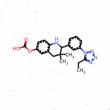 CCc1nnnn1-c1cccc(C2Nc3ccc(OC(=O)O)cc3CC2(C)C)c1